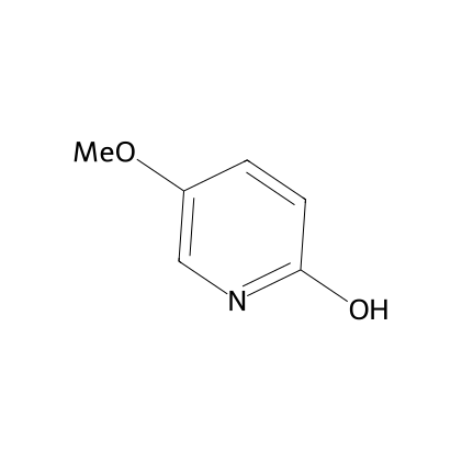 COc1ccc(O)nc1